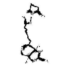 C=C1N[C@H]2[C@H](CS[C@H]2CCCCC(=O)ON2C(=O)CCC2=O)N1